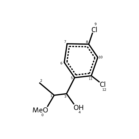 COC(C)C(O)c1ccc(Cl)cc1Cl